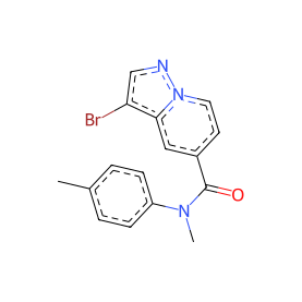 Cc1ccc(N(C)C(=O)c2ccn3ncc(Br)c3c2)cc1